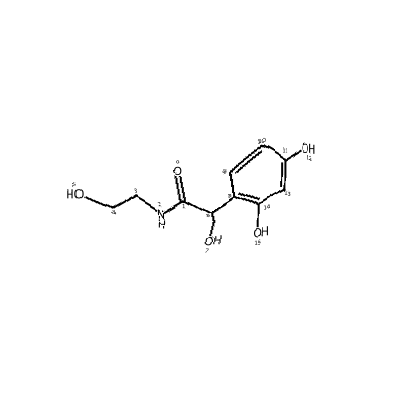 O=C(NCCO)C(O)c1ccc(O)cc1O